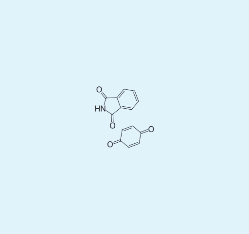 O=C1C=CC(=O)C=C1.O=C1NC(=O)c2ccccc21